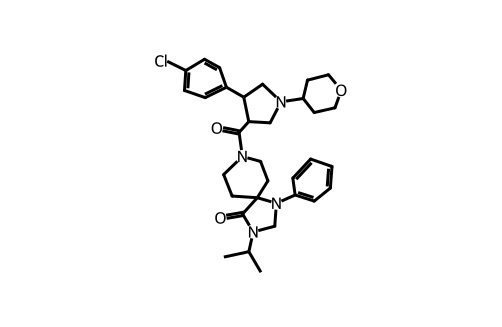 CC(C)N1CN(c2ccccc2)C2(CCN(C(=O)C3CN(C4CCOCC4)CC3c3ccc(Cl)cc3)CC2)C1=O